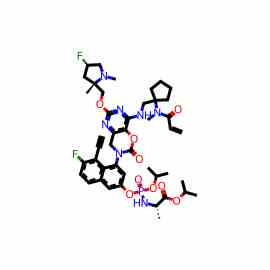 C#Cc1c(F)ccc2cc(OP(=O)(N[C@@H](C)C(=O)OC(C)C)OC(C)C)cc(N3Cc4nc(OC[C@]5(C)C[C@@H](F)CN5C)nc(NCC5(N(C)C(=O)C=C)CCCC5)c4OC3=O)c12